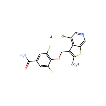 NC(=O)c1cc(F)c(OCc2c(C(=O)O)sc3cncc(Cl)c23)c(F)c1.[Li]